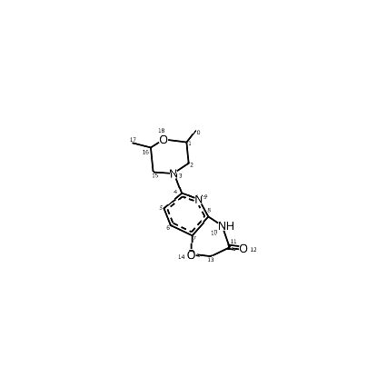 CC1CN(c2ccc3c(n2)NC(=O)CO3)CC(C)O1